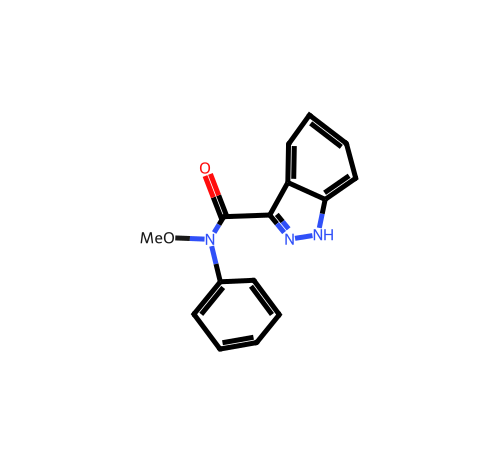 CON(C(=O)c1n[nH]c2ccccc12)c1ccccc1